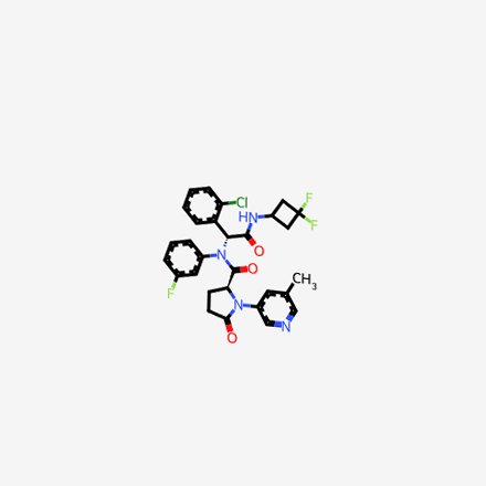 Cc1cncc(N2C(=O)CC[C@H]2C(=O)N(c2cccc(F)c2)[C@@H](C(=O)NC2CC(F)(F)C2)c2ccccc2Cl)c1